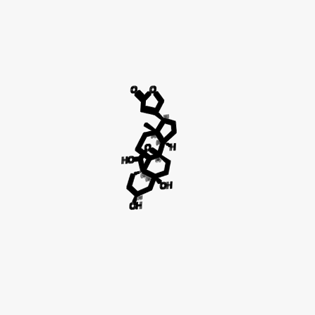 C[C@]12CCC3[C@@]45CC[C@H](O)C[C@@]4(O)CC[C@@]3(OC5O)[C@@H]1CC[C@@H]2C1=CC(=O)OC1